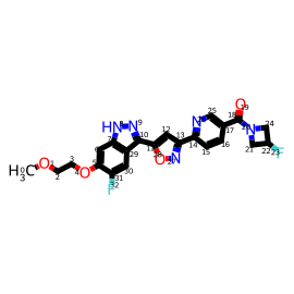 COCCOc1cc2[nH]nc(-c3cc(-c4ccc(C(=O)N5CC(F)C5)cn4)no3)c2cc1F